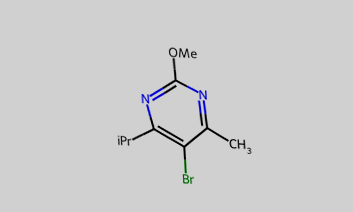 COc1nc(C)c(Br)c(C(C)C)n1